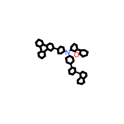 c1cc(-c2ccc(N(c3ccc(-c4ccc5c6ccccc6c6ccccc6c5c4)cc3)c3cccc4c3oc3ccccc34)cc2)cc(-c2cccc3ccccc23)c1